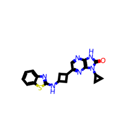 O=c1[nH]c2ncc(C3CC(Nc4nc5ccccc5s4)C3)nc2n1C1CC1